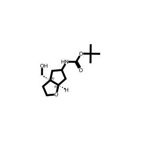 CC(C)(C)OC(=O)NC1C[C@H]2OCC[C@@]2(CO)C1